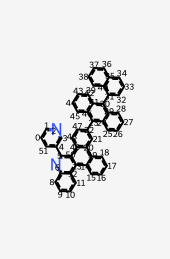 c1cncc(-c2nc3ccccc3c3c4ccccc4c4cc(-c5c6ccccc6c(-c6cccc7ccccc67)c6ccccc56)ccc4c23)c1